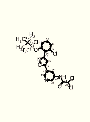 CC(C)(C)[Si](C)(C)Oc1cccc(Cl)c1-c1cc(-c2cncc(NC(=O)C(Cl)Cl)c2)on1